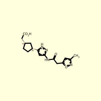 Cc1cc(CC(=O)Nc2cc([C@@H]3CC[C@H](CC(=O)O)C3)[nH]n2)on1